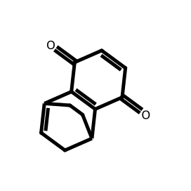 O=C1C=CC(=O)C2=C1C1=CCC2CC1